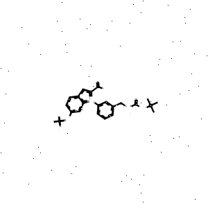 CC(C)(C)OC(=O)NCc1cccc(-n2c(C(=O)O)cc3ccc(OC(F)(F)F)cc32)c1